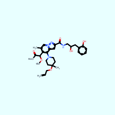 C=CCOC1(C)CCN(c2c(C(OC(C)(C)C)C(=O)OC)c(C)cn3nc(C(=O)NCC(O)Cc4ccccc4O)cc23)CC1